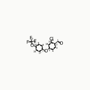 O=Cc1ccc(Oc2ccc(OC(F)(F)F)cc2)cc1Cl